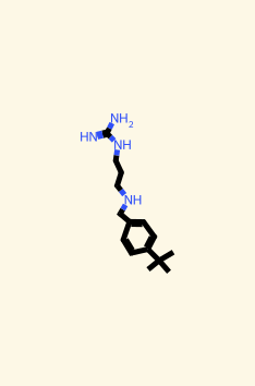 CC(C)(C)c1ccc(CNCCCNC(=N)N)cc1